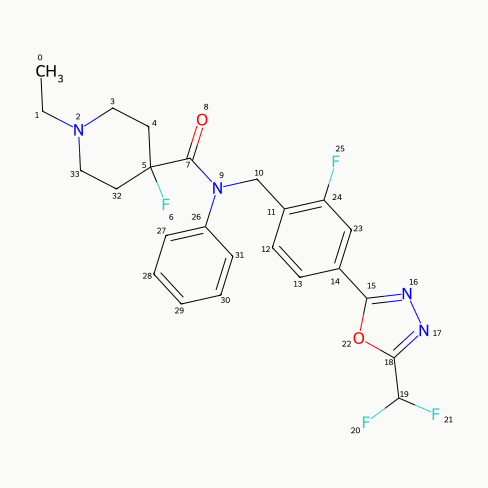 CCN1CCC(F)(C(=O)N(Cc2ccc(-c3nnc(C(F)F)o3)cc2F)c2ccccc2)CC1